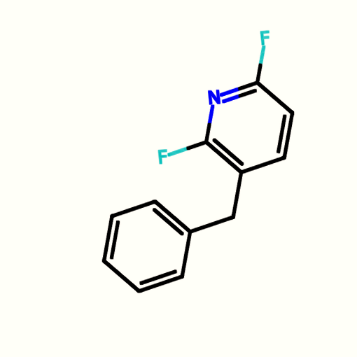 Fc1ccc(Cc2ccccc2)c(F)n1